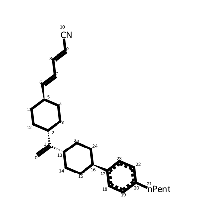 C=C([C@H]1CC[C@H](/C=C/C=C/C#N)CC1)[C@H]1CC[C@H](c2ccc(CCCCC)cc2)CC1